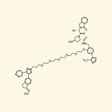 Cc1ncsc1-c1ccc(CNC(=O)[C@@H]2C[C@@H](O)CN2C(=O)[C@H](C(C)C)N2Cc3ccccc3C2=O)c(OCCOCCOCCOCCOCCOCCCn2cc(-c3ccc4c(c3)CC/C4=N\O)c(-c3ccncc3)n2)c1